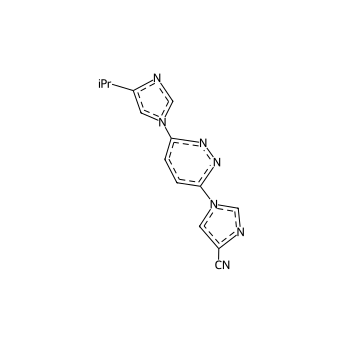 CC(C)c1cn(-c2ccc(-n3cnc(C#N)c3)nn2)cn1